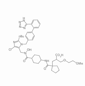 CCCCc1nc(Cl)c(CN(O)C(=O)C2CCC(NC(=O)C3(CC(COCCOC)C(=O)O)CCCC3)CC2)n1Cc1ccc(-c2ccccc2-c2nnn[nH]2)cc1